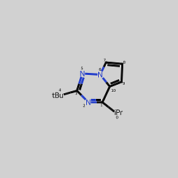 CC(C)c1nc(C(C)(C)C)nn2cccc12